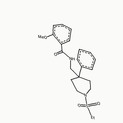 CCS(=O)(=O)N1CCC(CNC(=O)c2ccccc2OC)(c2ccccc2)CC1